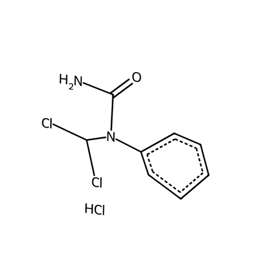 Cl.NC(=O)N(c1ccccc1)C(Cl)Cl